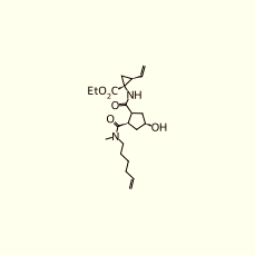 C=CCCCCN(C)C(=O)[C@@H]1C[C@H](O)CC1C(=O)N[C@]1(C(=O)OCC)C[C@H]1C=C